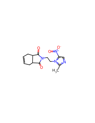 Cc1ncc([N+](=O)[O-])n1CCN1C(=O)C2CC=CCC2C1=O